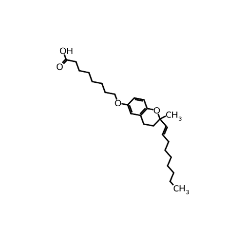 CCCCCCCC=CC1(C)CCc2cc(OCCCCCCCC(=O)O)ccc2O1